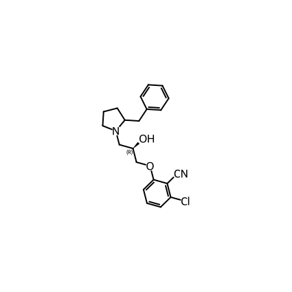 N#Cc1c(Cl)cccc1OC[C@H](O)CN1CCCC1Cc1ccccc1